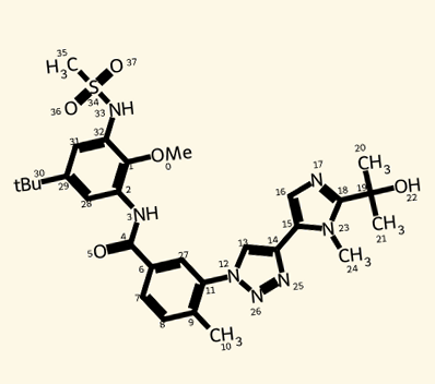 COc1c(NC(=O)c2ccc(C)c(-n3cc(-c4cnc(C(C)(C)O)n4C)nn3)c2)cc(C(C)(C)C)cc1NS(C)(=O)=O